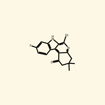 CCc1nc2c(c3c1[nH]c1cc(F)ccc13)C(=O)CC(C)(C)C2